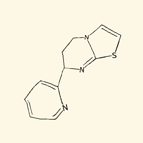 C1=CN2CCC(c3ccccn3)N=C2S1